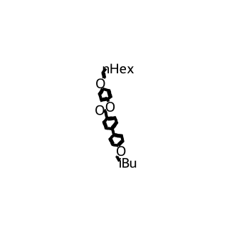 CCCCCCC=COc1ccc(OC(=O)c2ccc(-c3ccc(OCC(C)CC)cc3)cc2)cc1